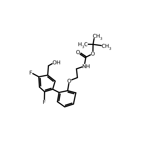 CC(C)(C)OC(=O)NCCOc1ccccc1-c1cc(CO)c(F)cc1F